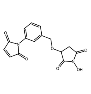 O=C1CC(OCc2cccc(N3C(=O)C=CC3=O)c2)C(=O)N1O